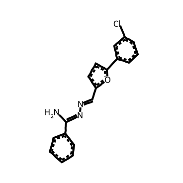 NC(=NN=Cc1ccc(-c2cccc(Cl)c2)o1)c1ccccc1